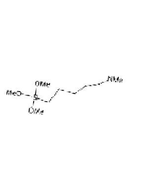 CNCCCCC[Si](OC)(OC)OC